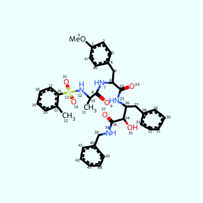 COc1ccc(CC(NC(=O)C(C)NS(=O)(=O)c2ccccc2C)C(=O)NC(Cc2ccccc2)C(O)C(=O)NCc2ccccc2)cc1